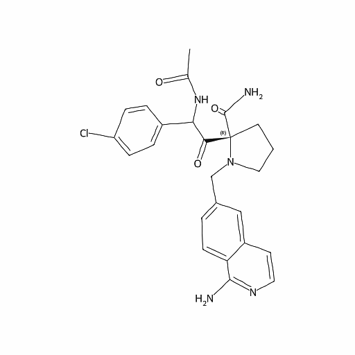 CC(=O)NC(C(=O)[C@@]1(C(N)=O)CCCN1Cc1ccc2c(N)nccc2c1)c1ccc(Cl)cc1